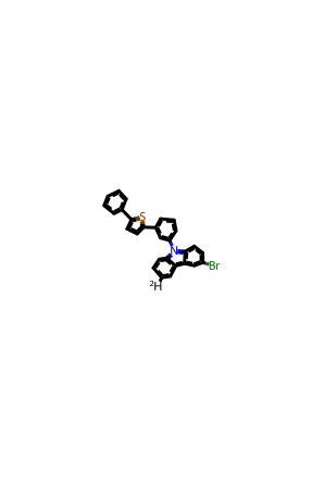 [2H]c1ccc2c(c1)c1cc(Br)ccc1n2-c1cccc(-c2ccc(-c3ccccc3)s2)c1